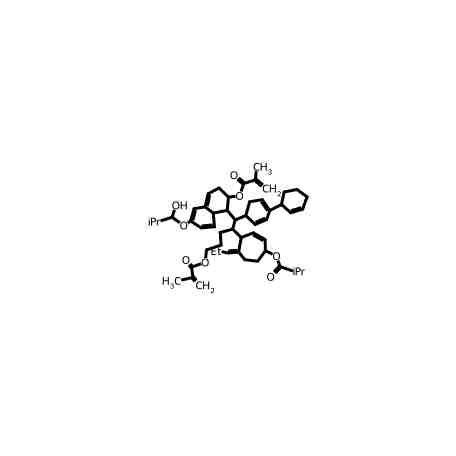 C=C(C)C(=O)OCCCC(C1C=CC(OC(=O)C(C)C)CC/C1=C/CC)C(C1C=CC(C2C=CCCC2)=CC1)C1C(OC(=O)C(=C)C)CC=C2C=C(OC(O)C(C)C)C=CC21